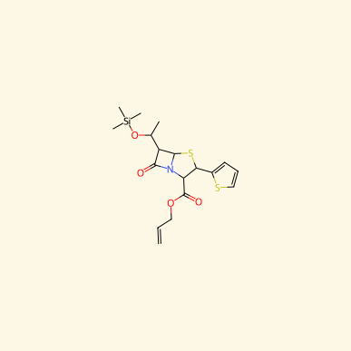 C=CCOC(=O)C1C(c2cccs2)SC2C(C(C)O[Si](C)(C)C)C(=O)N21